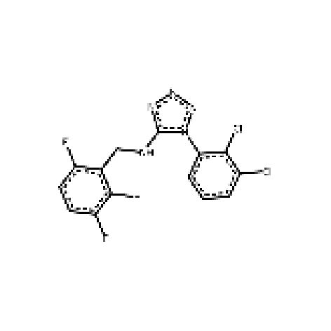 Fc1ccc(F)c(CNc2nnnn2-c2cccc(Cl)c2Cl)c1F